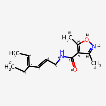 CC=C(C=CCNC(=O)c1c(C)noc1C)CC